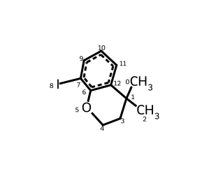 CC1(C)CCOc2c(I)cccc21